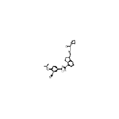 CC(C)Oc1ccc(-c2nc(-c3cccc4c3CCC4/C=N/CC(=O)N3CCC3)no2)cc1C#N